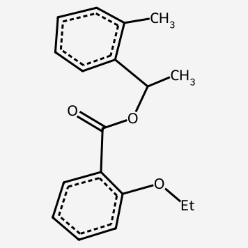 CCOc1ccccc1C(=O)OC(C)c1ccccc1C